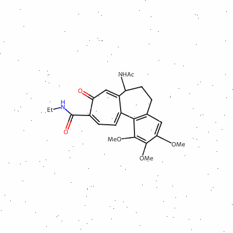 CCNC(=O)c1ccc2c(cc1=O)C(NC(C)=O)CCc1cc(OC)c(OC)c(OC)c1-2